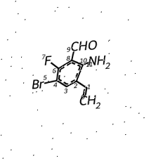 C=Cc1cc(Br)c(F)c(C=O)c1N